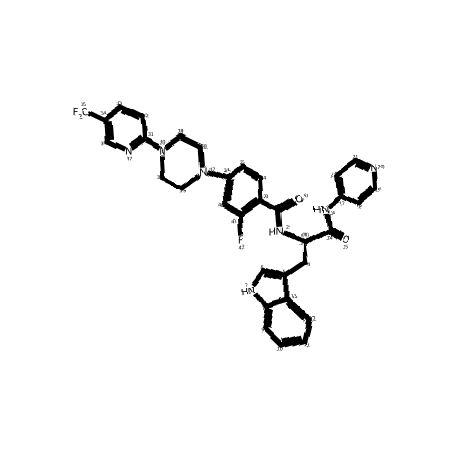 O=C(N[C@H](Cc1c[nH]c2ccccc12)C(=O)Nc1ccncc1)c1ccc(N2CCN(c3ccc(C(F)(F)F)cn3)CC2)cc1F